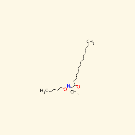 CCCCCCCCCCCCCC(=O)C(C)=NOCCCCC